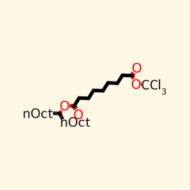 CCCCCCCCC(CCCCCCCC)OC(=O)CCCCCCCC(=O)OC(Cl)(Cl)Cl